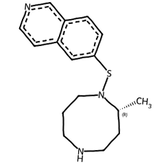 C[C@@H]1CCNCCCN1Sc1ccc2cnccc2c1